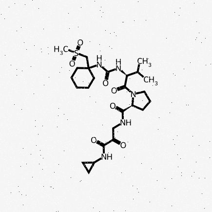 CC(C)[C@H](NC(=O)NC1(CS(C)(=O)=O)CCCCC1)C(=O)N1CCC[C@H]1C(=O)NCC(=O)C(=O)NC1CC1